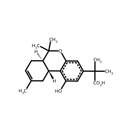 CC1=CC[C@@H]2[C@@H](C1)c1c(O)cc(C(C)(C)C(=O)O)cc1OC2(C)C